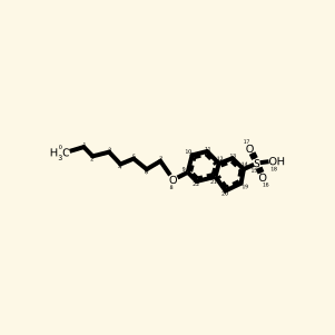 CCCCCCCCOc1ccc2cc(S(=O)(=O)O)ccc2c1